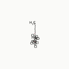 CCCCCCCCCCCCC(Cl)C(=O)NN(C1=NN(c2c(Cl)cc(Cl)cc2Cl)C(=O)C1)c1ccccc1